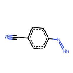 N#Cc1ccc(N=N)cc1